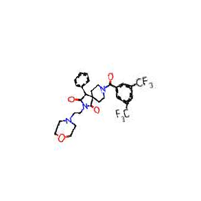 O=C(c1cc(C(F)(F)F)cc(C(F)(F)F)c1)N1CCC2(CC1)C(=O)N(CCN1CCOCC1)C(=O)C2c1ccccc1